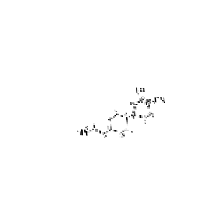 CCCC=CC1CCC(c2ccc(C#N)c(F)c2)CC1